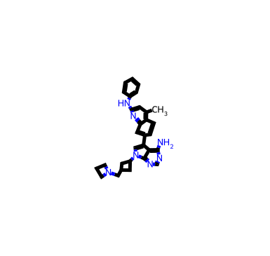 Cc1cc(Nc2ccccc2)nc2cc(-c3cn(C4CC(CN5CCC5)C4)c4ncnc(N)c34)ccc12